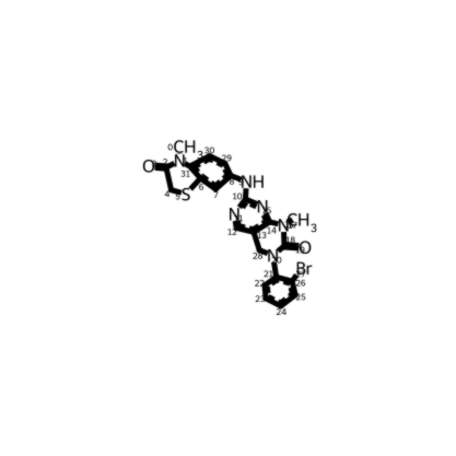 CN1C(=O)CSc2cc(Nc3ncc4c(n3)N(C)C(=O)N(c3ccccc3Br)C4)ccc21